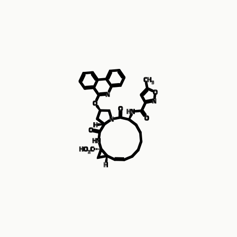 Cc1cc(C(=O)N[C@H]2CCCCC/C=C\[C@@H]3C[C@@]3(C(=O)O)NC(=O)[C@@H]3C[C@@H](Oc4nc5ccccc5c5ccccc45)CN3C2=O)no1